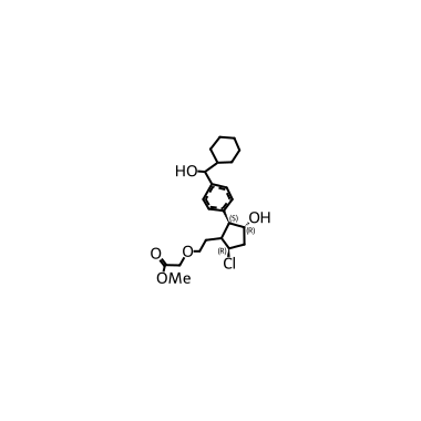 COC(=O)COCCC1[C@H](Cl)C[C@@H](O)[C@@H]1c1ccc(C(O)C2CCCCC2)cc1